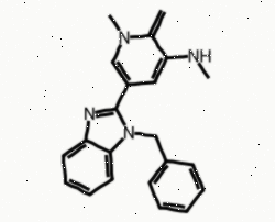 C=C1C(NC)=CC(c2nc3ccccc3n2Cc2ccccc2)=CN1C